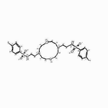 Cc1ccc(S(=O)(=O)NCCN2CCOCCN(CCNS(=O)(=O)c3ccc(C)cc3)CCOCC2)cc1